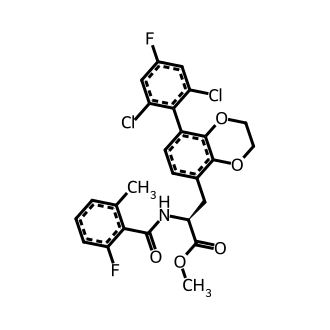 COC(=O)[C@H](Cc1ccc(-c2c(Cl)cc(F)cc2Cl)c2c1OCCO2)NC(=O)c1c(C)cccc1F